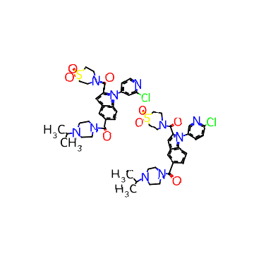 CC(C)N1CCN(C(=O)c2ccc3c(c2)cc(C(=O)N2CCS(=O)(=O)CC2)n3-c2ccc(Cl)nc2)CC1.CC(C)N1CCN(C(=O)c2ccc3c(c2)cc(C(=O)N2CCS(=O)(=O)CC2)n3-c2ccnc(Cl)c2)CC1